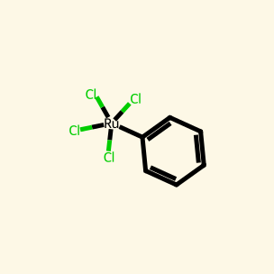 [Cl][Ru]([Cl])([Cl])([Cl])[c]1ccccc1